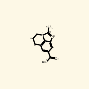 CCCCC(=O)c1cc2c3c(c1)nc(C(F)(F)F)n3CCC2